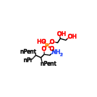 CCCCCC(CCC)C(CCCCC)C(CN)OP(=O)(O)OCC(O)CO